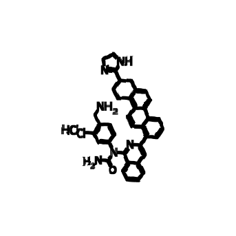 Cl.NCc1ccc(N(C(N)=O)c2nc(-c3cccc4c3ccc3c5c(ccc34)CC(C3=NCCN3)CC5)cc3ccccc23)cc1Cl